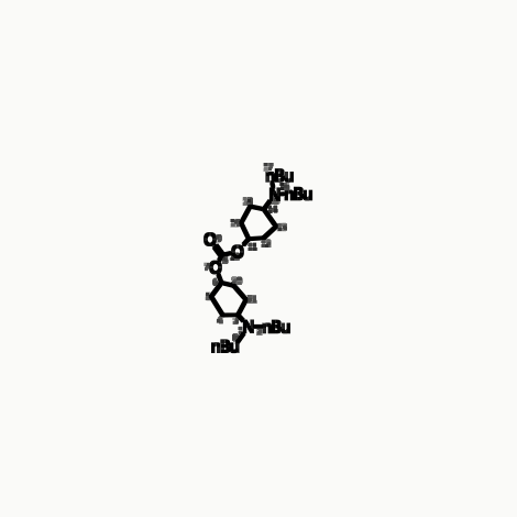 CCCCN(CCCC)C1CCC(OC(=O)OC2CCC(N(CCCC)CCCC)CC2)CC1